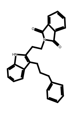 O=C1c2ccccc2C(=O)N1CCc1[nH]c2ccccc2c1CCCc1ccccc1